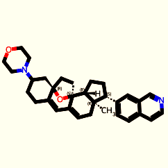 C[C@]12CC=C3C=C4CCC(N5CCOCC5)C[C@]45CC[C@]3(O5)[C@@H]1CC[C@@H]2c1ccc2ccncc2c1